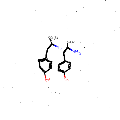 CCOC(=O)C(N)Cc1ccc(O)cc1.NC(Cc1ccc(O)cc1)C(=O)O